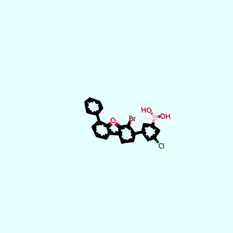 OB(O)c1cc(Cl)cc(-c2ccc3c(oc4c(-c5ccccc5)cccc43)c2Br)c1